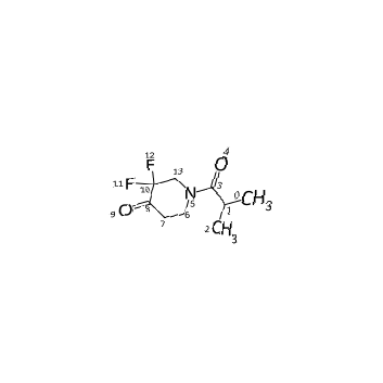 CC(C)C(=O)N1CCC(=O)C(F)(F)C1